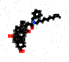 CCCCCCCCN(Cc1ccccc1)C(=O)CCC(C)C1CC[C@H]2C3[C@H](O)CC4C[C@H](O)CCC4(C)[C@H]3C[C@H](O)C12C